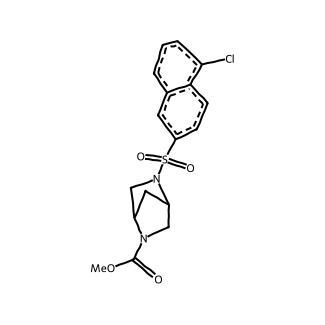 COC(=O)N1CC2CC1CN2S(=O)(=O)c1ccc2c(Cl)cccc2c1